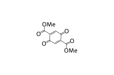 COC(=O)C1=CC(=O)C(C(=O)OC)=CC1=O